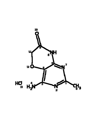 Cc1nc(N)c2c(n1)NC(=O)CO2.Cl